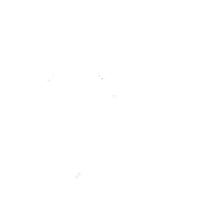 C=CC(=O)OCCOc1cc(Cn2c3ccc4ccccc4c3c3c4ccccc4ccc32)cc(OCCOC(C)=O)c1